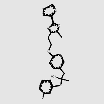 Cc1oc(-c2cccs2)nc1CCOc1ccc(CC(C)(Oc2cccc(F)c2)C(=O)O)cc1